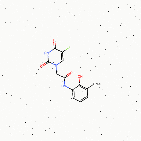 COc1cccc(NC(=O)Cn2cc(F)c(=O)[nH]c2=O)c1O